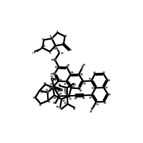 C=C1CCN2C[C@H](F)C[C@]12COc1nc2c3c(nc(-c4cccc5ccc(F)c(C#C[Si](C(C)C)(C(C)C)C(C)C)c45)c(F)c3n1)OC(C)C1C3CCC(CN21)N3C(=O)O